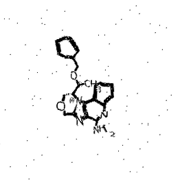 C[C@H](OCc1ccccc1)[C@H]1COCc2nc3c(N)nc4ccccc4c3n21